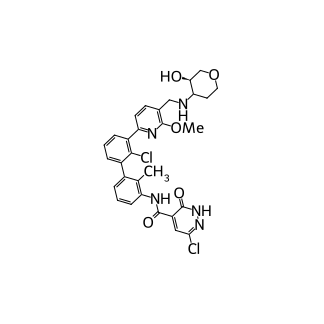 COc1nc(-c2cccc(-c3cccc(NC(=O)c4cc(Cl)n[nH]c4=O)c3C)c2Cl)ccc1CNC1CCOC[C@@H]1O